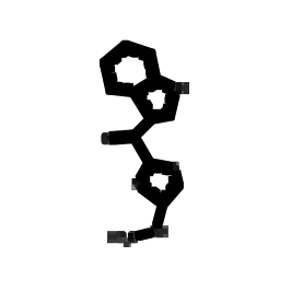 O=C(O)Nc1csc(C(=O)c2c[nH]c3ccccc23)n1